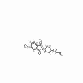 C=CCOC1CCC(N2C(=O)c3ccc(Br)cc3C2=O)CC1